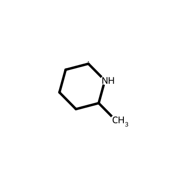 CC1CCC[CH]N1